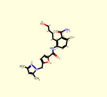 Cc1cc(C)n(Cc2ccc(C(=O)Nc3ccc(Cl)c(C(N)=O)c3CCCCO)o2)n1